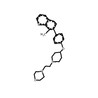 Cc1c(-c2ccc(OC3CCN(CCN4CCOCC4)CC3)cc2)ccc2cccnc12